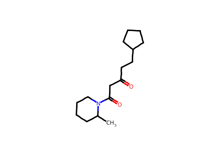 CC1CCCCN1C(=O)CC(=O)CCC1CCCC1